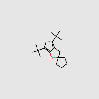 CC(C)(C)C1=C2CC3(CCCC3)OC2=C(C(C)(C)C)C1